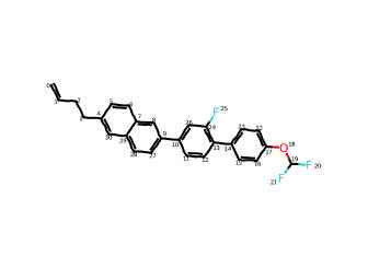 C=CCCc1ccc2cc(-c3ccc(-c4ccc(OC(F)F)cc4)c(F)c3)ccc2c1